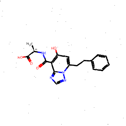 C[C@@H](NC(=O)c1c(O)cc(CCc2ccccc2)n2ncnc12)C(=O)O